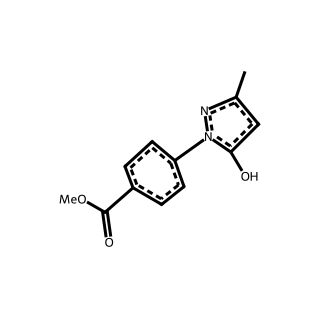 COC(=O)c1ccc(-n2nc(C)cc2O)cc1